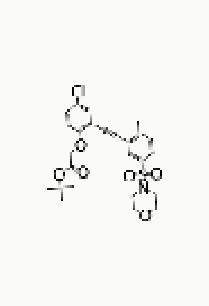 Cc1ccc(S(=O)(=O)N2CCOCC2)cc1C#Cc1cc(Cl)ccc1OCC(=O)OC(C)(C)C